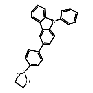 c1ccc(-n2c3ccccc3c3cc(-c4ccc(B5OCCO5)cc4)ccc32)cc1